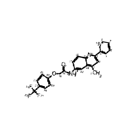 Cc1cc(-c2ccccn2)nc2ccc(NC(=O)COc3ccc(C(F)(F)F)cc3)cc12